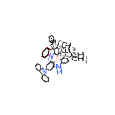 CC(C)(C)c1ccc2c(c1)B1c3cc(C(C)(C)C)cc([SiH](c4ccccc4)c4ccccc4)c3N(c3ccccc3)c3cc(-n4c5ccccc5c5ccccc54)cc(c31)N2